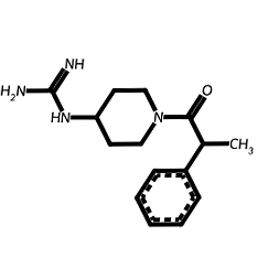 CC(C(=O)N1CCC(NC(=N)N)CC1)c1ccccc1